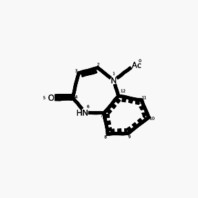 CC(=O)N1C=CC(=O)Nc2ccccc21